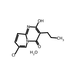 CCCc1c(O)nc2ccc(Cl)cn2c1=O.O